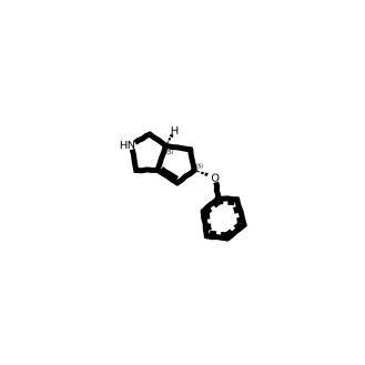 C1=C2CNC[C@H]2C[C@@H]1Oc1ccccc1